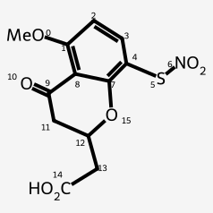 COc1ccc(S[N+](=O)[O-])c2c1C(=O)CC(CC(=O)O)O2